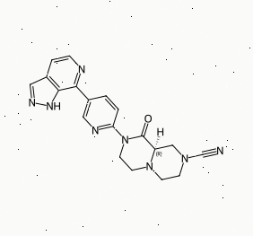 N#CN1CCN2CCN(c3ccc(-c4nccc5cn[nH]c45)cn3)C(=O)[C@H]2C1